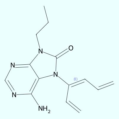 C=C/C=C(\C=C)n1c(=O)n(CCC)c2ncnc(N)c21